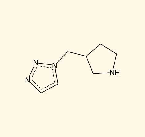 c1cn(CC2CCNC2)nn1